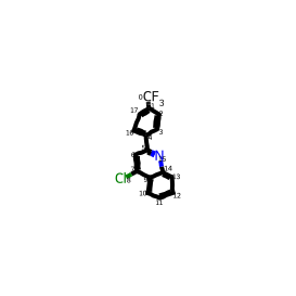 FC(F)(F)c1ccc(-c2cc(Cl)c3ccccc3n2)cc1